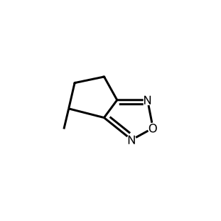 CC1CCc2nonc21